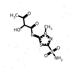 CC(=O)C(O)C(=O)N=c1sc(S(N)(=O)=O)nn1C